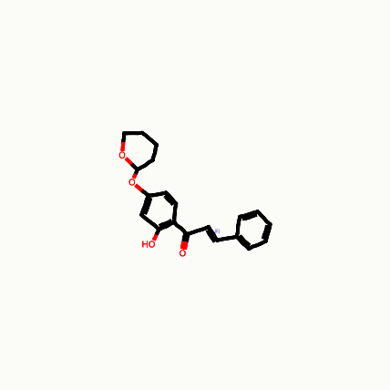 O=C(/C=C/c1ccccc1)c1ccc(OC2CCCCO2)cc1O